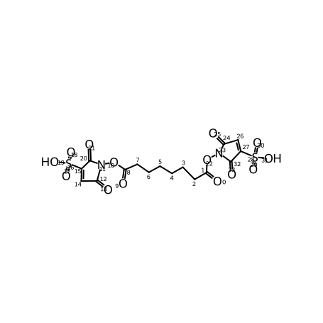 O=C(CCCCCCC(=O)ON1C(=O)C=C(S(=O)(=O)O)C1=O)ON1C(=O)C=C(S(=O)(=O)O)C1=O